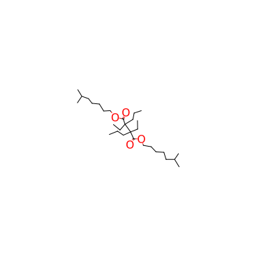 CCCC(CC)(C(=O)OCCCCCC(C)C)C(CC)(CCC)C(=O)OCCCCCC(C)C